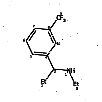 CCNC(CC)c1cccc(C(F)(F)F)c1